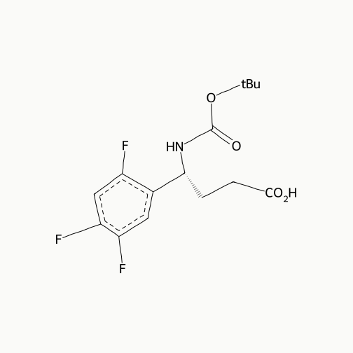 CC(C)(C)OC(=O)N[C@H](CCC(=O)O)c1cc(F)c(F)cc1F